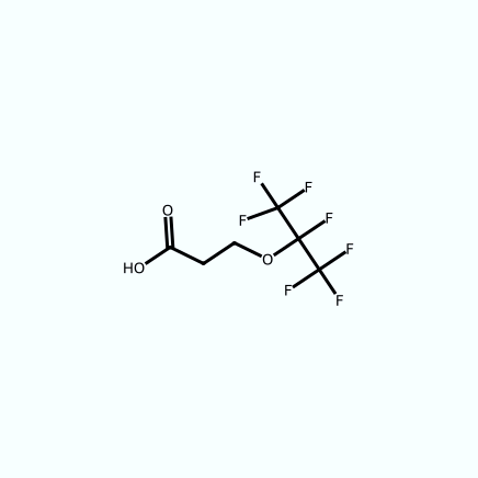 O=C(O)CCOC(F)(C(F)(F)F)C(F)(F)F